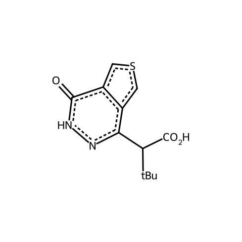 CC(C)(C)C(C(=O)O)c1n[nH]c(=O)c2cscc12